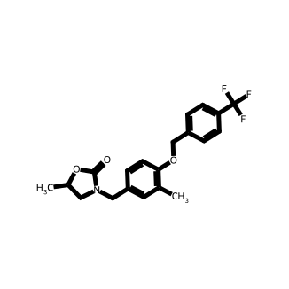 Cc1cc(CN2CC(C)OC2=O)ccc1OCc1ccc(C(F)(F)F)cc1